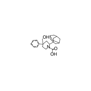 O=C(O)N1CCC(CO)(c2ccccc2)CC1C12CC3CC(CC(C3)C1)C2